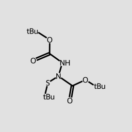 CC(C)(C)OC(=O)NN(SC(C)(C)C)C(=O)OC(C)(C)C